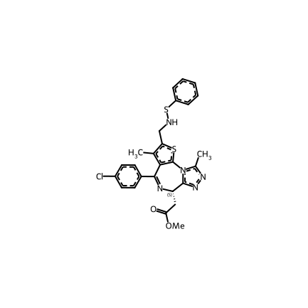 COC(=O)C[C@@H]1N=C(c2ccc(Cl)cc2)c2c(sc(CNSc3ccccc3)c2C)-n2c(C)nnc21